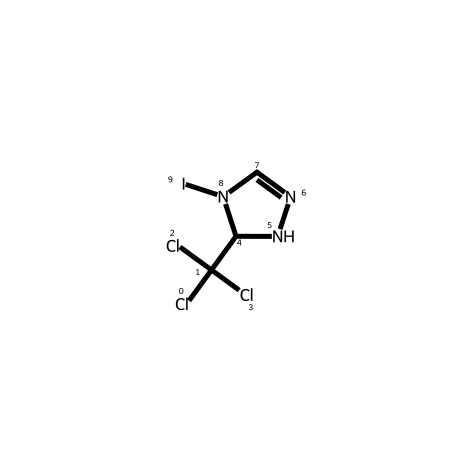 ClC(Cl)(Cl)C1NN=CN1I